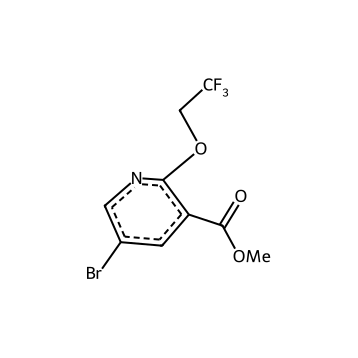 COC(=O)c1cc(Br)cnc1OCC(F)(F)F